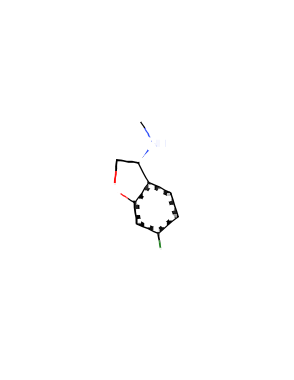 CN[C@@H]1COc2cc(Cl)ccc21.Cl